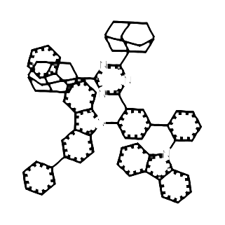 c1ccc(-c2ccc3c(c2)c2cc(-c4ccccc4)ccc2n3-c2ccc(-c3ccccc3-n3c4ccccc4c4ccccc43)cc2-c2nc(C34CC5CC(CC(C5)C3)C4)nc(C34CC5CC(CC(C5)C3)C4)n2)cc1